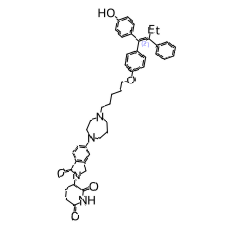 CC/C(=C(\c1ccc(O)cc1)c1ccc(OCCCCCN2CCCN(c3ccc4c(c3)CN(C3CCC(=O)NC3=O)C4=O)CC2)cc1)c1ccccc1